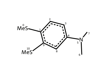 CSc1ccc(N(C)C)cc1SC